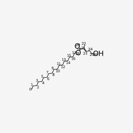 CCCCCCCCCCCCCCCCCCOC(=O)C(C)=CCCO